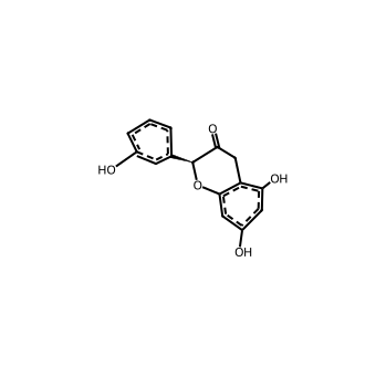 O=C1Cc2c(O)cc(O)cc2O[C@H]1c1cccc(O)c1